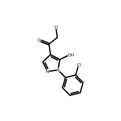 O=C(CCl)c1[c]nn(-c2ccccc2Cl)c1O